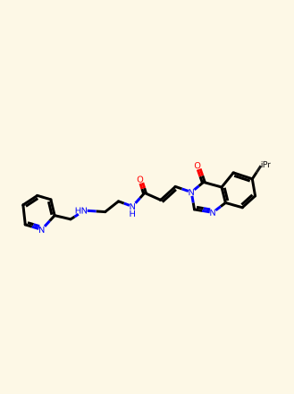 CC(C)c1ccc2ncn(C=CC(=O)NCCNCc3ccccn3)c(=O)c2c1